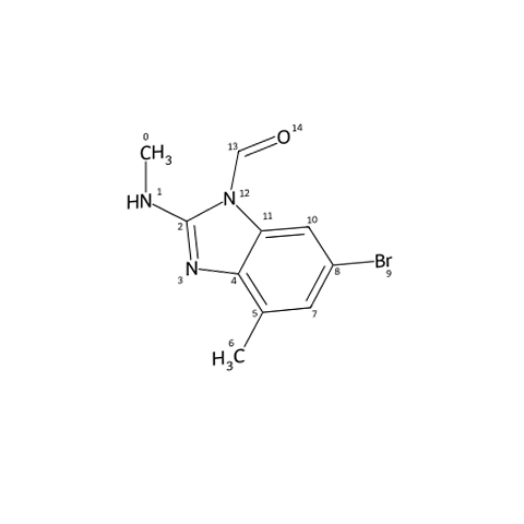 CNc1nc2c(C)cc(Br)cc2n1C=O